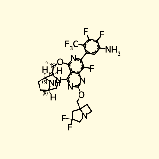 C[C@@H]1Oc2nc(-c3cc(N)c(F)c(F)c3C(F)(F)F)c(F)c3nc(OCC45CCN4CC(F)(F)C5)nc(c23)N2C[C@H]3CC[C@H](N3)[C@@H]12